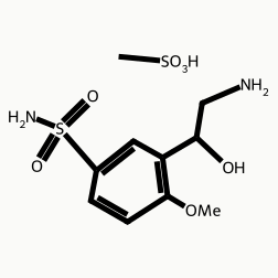 COc1ccc(S(N)(=O)=O)cc1C(O)CN.CS(=O)(=O)O